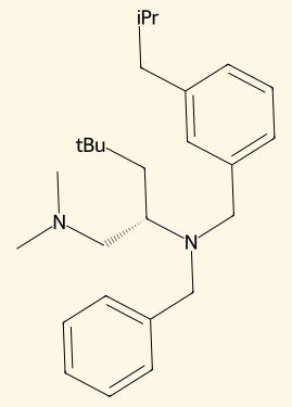 CC(C)Cc1cccc(CN(Cc2ccccc2)[C@H](CN(C)C)CC(C)(C)C)c1